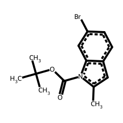 Cc1cc2ccc(Br)cc2n1C(=O)OC(C)(C)C